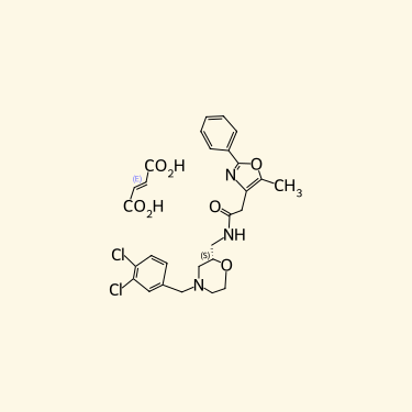 Cc1oc(-c2ccccc2)nc1CC(=O)NC[C@H]1CN(Cc2ccc(Cl)c(Cl)c2)CCO1.O=C(O)/C=C/C(=O)O